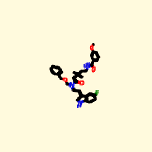 COc1cccc(C(=O)NCCC(C)(C)CC(=O)N(CCC2CNc3ccc(F)cc32)COCc2ccccc2)c1